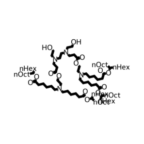 CCCCCCCCC(CCCCCC)OC(=O)CCCCCN(CCCCCC(=O)OC(CCCCCC)CCCCCCCC)CCOC(=O)CCN(CCO)CCN(CCO)CCC(=O)OCCN(CCCCCC(=O)OC(CCCCCC)CCCCCCCC)CCCCCC(=O)OC(CCCCCC)CCCCCCCC